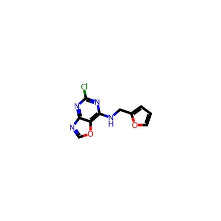 Clc1nc(NCc2ccco2)c2ocnc2n1